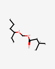 CCCC(CC)OCOC(=O)CC(C)C